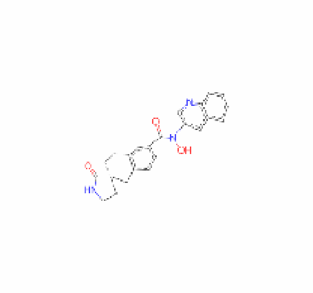 O=C(c1ccc2c(c1)CC[C@@]1(CCNC1=O)C2)N(O)c1cnc2ccccc2c1